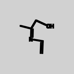 C=C/N=C(/C)CO